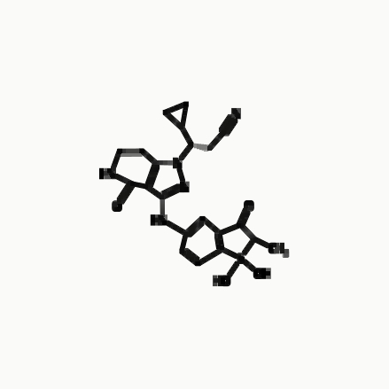 CC1C(=O)c2cc(Nc3nn([C@@H](CC#N)C4CC4)c4cc[nH]c(=O)c34)ccc2S1(O)O